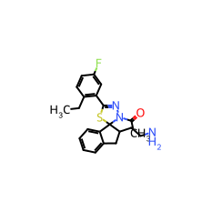 CCc1ccc(F)cc1C1=NN(C(C)=O)C2(S1)c1ccccc1CC2CCN